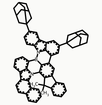 CC1(C)c2ccccc2-c2cc3c4c(c21)-n1c2c(cccc2c2ccc5ccccc5c21)B4n1c2ccc(C45CC6CC(CC(C6)C4)C5)cc2c2cc(C45CC6CC(CC(C6)C4)C5)cc-3c21